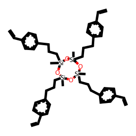 C=Cc1ccc(CCC[Si]2(C)O[Si](C)(CCCc3ccc(C=C)cc3)O[Si](C)(CCCc3ccc(C=C)cc3)O[Si](C)(CCCc3ccc(C=C)cc3)O2)cc1